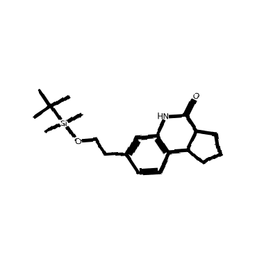 CC(C)(C)[Si](C)(C)OCCc1ccc2c(c1)NC(=O)C1CCCC21